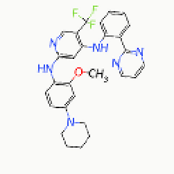 COc1cc(N2CCCCC2)ccc1Nc1cc(Nc2ccccc2-c2ncccn2)c(C(F)(F)F)cn1